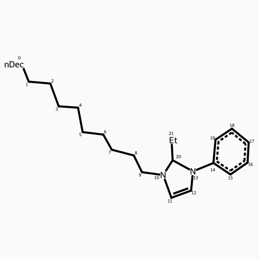 CCCCCCCCCCCCCCCCCCCN1C=CN(c2ccccc2)C1CC